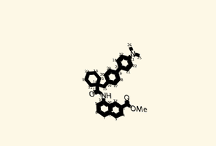 COC(=O)c1ccc2cccc(NC(=O)C3(Cc4ccc(-c5ccc(N(C)C)cc5)cc4)CCCCC3)c2c1